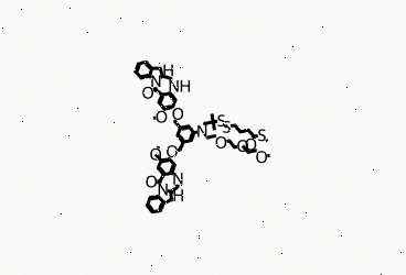 COCCOCCOCCN(CC(C)(C)SSCCCC(=O)SC)c1cc(COc2cc3c(cc2OC)C(=O)N2c4ccccc4C[C@H]2C=N3)cc(COc2cc3c(cc2OC)C(=O)N2c4ccccc4C[C@H]2CN3)c1